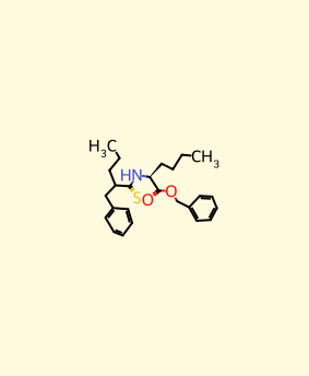 CCCC[C@H](NC(=S)C(CCC)Cc1ccccc1)C(=O)OCc1ccccc1